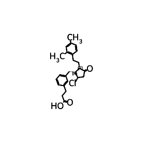 Cc1ccc(CC[C@H]2C(=O)CC(Cl)[C@@H]2Cc2cccc(CCC(=O)O)c2)c(C)c1